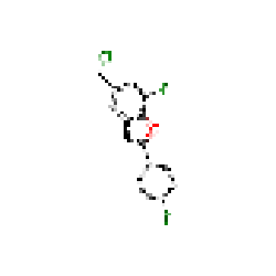 Fc1ccc(-c2cc3cc(CCl)cc(F)c3o2)cc1